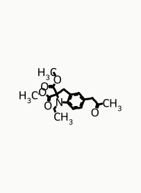 CCN1c2ccc(CC(C)=O)cc2CC1(C(=O)OC)C(=O)OC